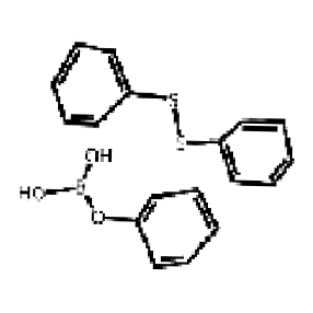 OB(O)Oc1ccccc1.c1ccc(SSc2ccccc2)cc1